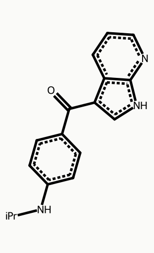 CC(C)Nc1ccc(C(=O)c2c[nH]c3ncccc23)cc1